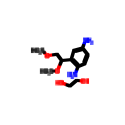 Nc1ccc(N)c(C(COS(=O)(=O)O)OS(=O)(=O)O)c1.OCCO